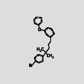 CC(C)(CCCc1cccc(Oc2ccccc2)c1)c1ccc(Br)cc1